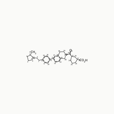 CC1CCCN1CCc1ccc(-c2ccc3c(c2)CCN(C(=O)[C@@H]2CCCC(C(=O)O)C2)C3)cc1